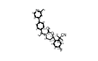 Cc1cc(-c2ccc([C@H](C)N3CC[C@](CC(C)(C)C#N)(c4ccc(F)cc4)OC3=O)cc2)ccn1